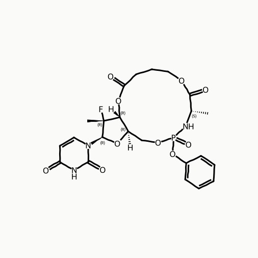 C[C@@H]1NP(=O)(Oc2ccccc2)OC[C@H]2O[C@@H](n3ccc(=O)[nH]c3=O)[C@](C)(F)[C@@H]2OC(=O)CCCOC1=O